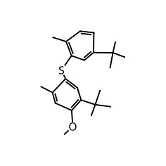 COc1cc(C)c(Sc2cc(C(C)(C)C)ccc2C)cc1C(C)(C)C